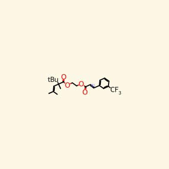 CC(C)=CC(C)(C(=O)OCCOC(=O)/C=C/c1cccc(C(F)(F)F)c1)C(C)(C)C